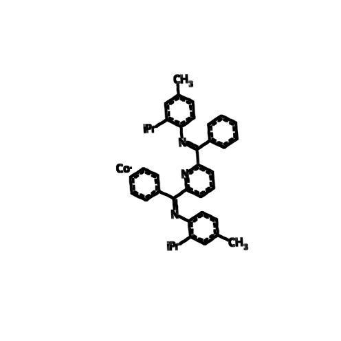 Cc1ccc(N=C(c2ccccc2)c2cccc(C(=Nc3ccc(C)cc3C(C)C)c3ccccc3)n2)c(C(C)C)c1.[Co]